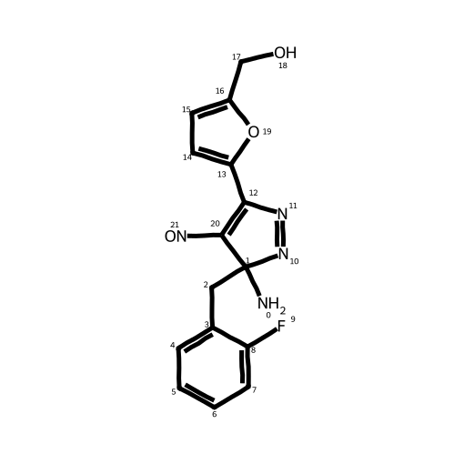 NC1(Cc2ccccc2F)N=NC(c2ccc(CO)o2)=C1N=O